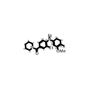 CCc1cc(C(=O)N2CCCCC2)ccc1N(CC)C1=CC(OC)=C(C)CC1